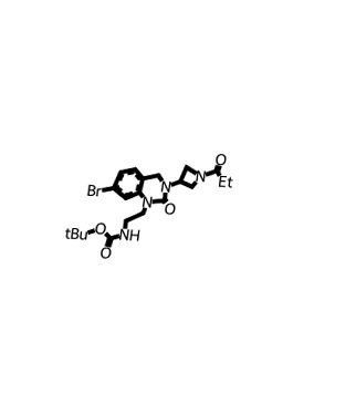 CCC(=O)N1CC(N2Cc3ccc(Br)cc3N(CCNC(=O)OC(C)(C)C)C2=O)C1